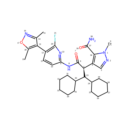 CCn1ncc([C@H](C(=O)Nc2ccc(-c3c(C)noc3C)c(F)n2)C(C2CCCCC2)C2CCCCC2)c1C(N)=O